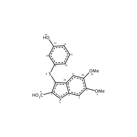 COc1cc2sc(C(=O)O)c(Sc3cccc(O)c3)c2cc1OC